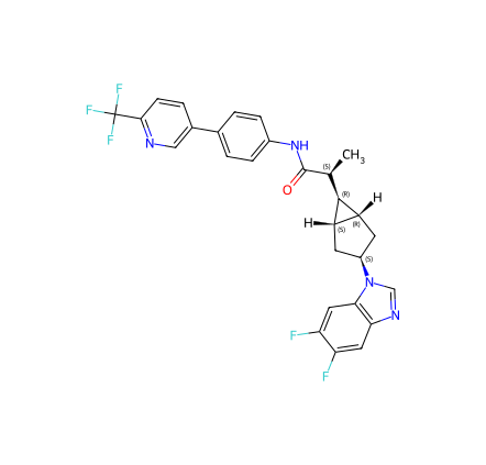 C[C@H](C(=O)Nc1ccc(-c2ccc(C(F)(F)F)nc2)cc1)[C@H]1[C@@H]2C[C@@H](n3cnc4cc(F)c(F)cc43)C[C@@H]21